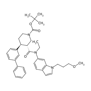 CCN(C(=O)[C@H]1CN(C(=O)OC(C)(C)C)CC[C@@H]1c1cccc(-c2ccccc2)c1)c1ccc2ccn(CCCOC)c2c1